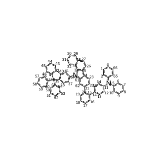 c1ccc(N(c2ccccc2)c2ccc(-c3ccccc3-c3ccc4c5ccc6ccccc6c5n(-c5ccc6c(c5)-c5ccccc5C6(c5ccccc5)c5ccccc5)c4c3)cc2)cc1